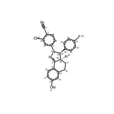 N#Cc1ccc(N2N=C3c4ccc(O)cc4CC[C@@H]3[C@@H]2c2ccc(F)cc2)cc1Cl